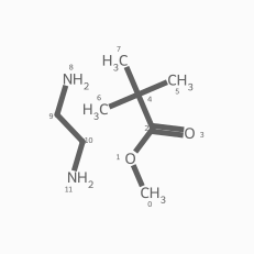 COC(=O)C(C)(C)C.NCCN